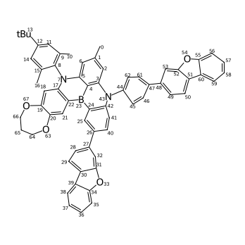 Cc1cc2c3c(c1)N(c1c(C)cc(C(C)(C)C)cc1C)c1cc4c(cc1B3c1cc(-c3ccc5c(c3)oc3ccccc35)ccc1N2c1ccc(-c2ccc3c(c2)oc2ccccc23)cc1)OCCCO4